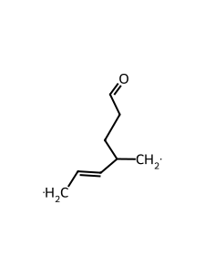 [CH2]C=CC([CH2])CCC=O